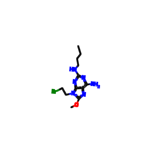 CCCCNc1nc(N)c2nc(OC)n(CCBr)c2n1